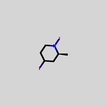 C[C@H]1CC(I)CCN1I